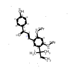 C=CC(C)(C)c1cc(/C=C/C(=O)c2ccc(O)cc2)c(OC(C)C)cc1OC(C)C